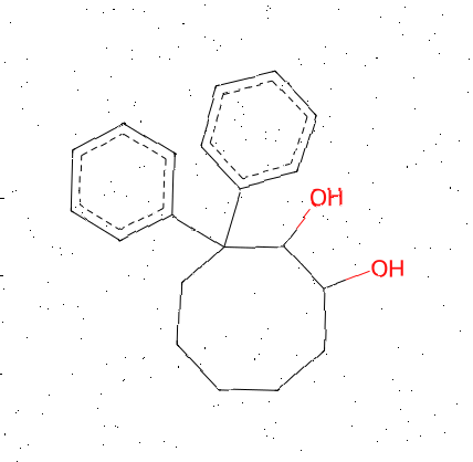 OC1CCCCCC(c2ccccc2)(c2ccccc2)C1O